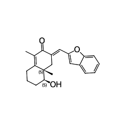 CC1=C2CCC[C@H](O)[C@@]2(C)CC(=Cc2cc3ccccc3o2)C1=O